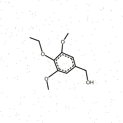 CCOc1c(OC)cc(CO)cc1OC